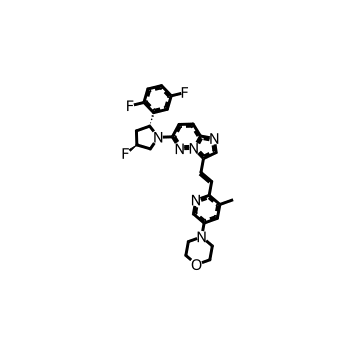 Cc1cc(N2CCOCC2)cnc1/C=C/c1cnc2ccc(N3C[C@@H](F)C[C@@H]3c3cc(F)ccc3F)nn12